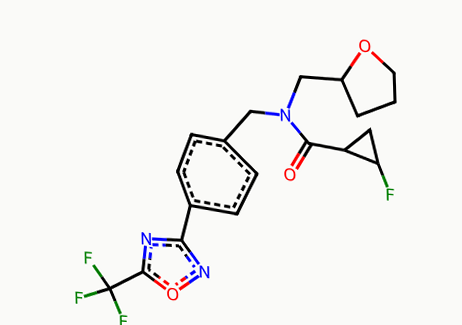 O=C(C1CC1F)N(Cc1ccc(-c2noc(C(F)(F)F)n2)cc1)CC1CCCO1